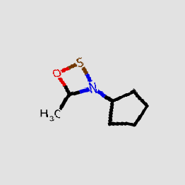 CC1OSN1C1CCCC1